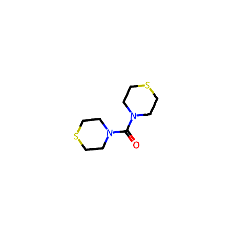 O=C(N1CCSCC1)N1CCSCC1